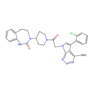 CNc1ncnc2c1c(-c1ccccc1Cl)cn2CC(=O)N1CCC(N2CCc3ccccc3NC2=O)CC1